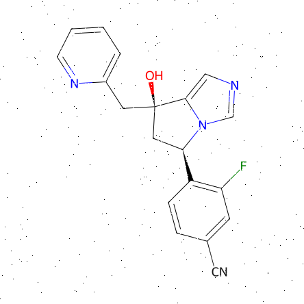 N#Cc1ccc([C@H]2C[C@](O)(Cc3ccccn3)c3cncn32)c(F)c1